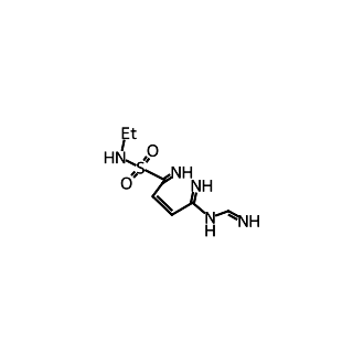 CCNS(=O)(=O)C(=N)/C=C\C(=N)NC=N